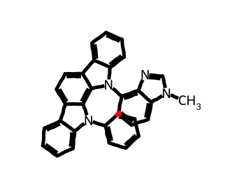 Cn1cnc2c(-n3c4ccccc4c4ccc5c6ccccc6n(-c6ccccc6)c5c43)cccc21